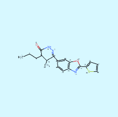 CCCC1C(=O)NN=C(c2ccc3nc(-c4cccs4)oc3c2)C1C